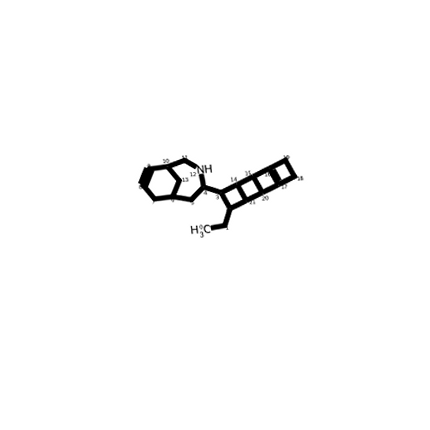 CCC1C(C2CC3CC#CC(CN2)C3)C2C3C4=C(CC4)C3C12